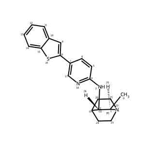 C[C@@H]1[C@@H](Nc2ccc(-c3cc4ccccc4s3)cn2)C2CCN1CC2